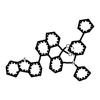 CC1(C)c2c(cccc2N(c2ccccc2)c2ccc(-c3ccccc3)cc2)-c2c(-c3cccc4c3sc3ccccc34)ccc3cccc1c23